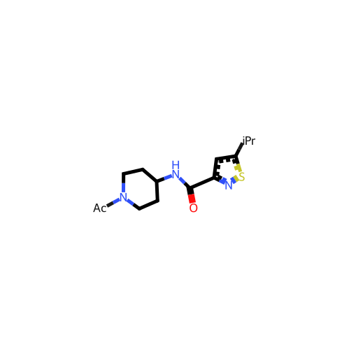 CC(=O)N1CCC(NC(=O)c2cc(C(C)C)sn2)CC1